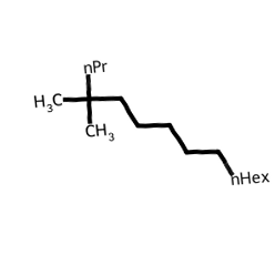 [CH2]CCC(C)(C)CCCCCCCCCCC